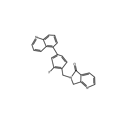 O=C1c2cccnc2CN1Cc1ccc(-c2cccc3ncccc23)cc1F